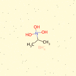 CC(C)[N+](O)(O)O.[BH4-]